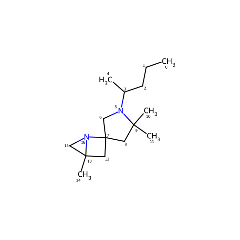 CCCC(C)N1CC2(CC1(C)C)CC1(C)CN12